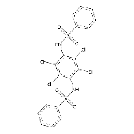 O=S(=O)(Nc1c(Cl)c(Cl)c(NS(=O)(=O)c2ccccc2)c(Cl)c1Cl)c1ccccc1